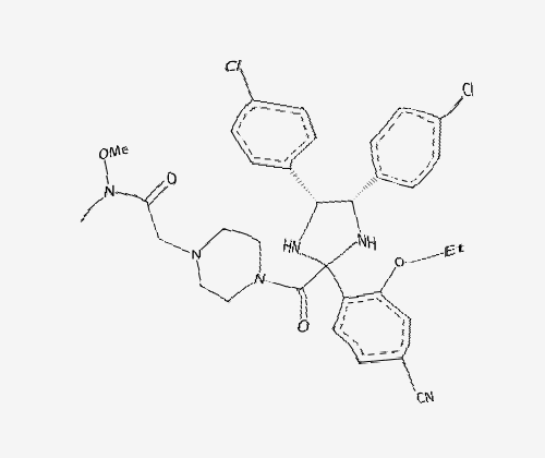 CCOc1cc(C#N)ccc1C1(C(=O)N2CCN(CC(=O)N(C)OC)CC2)N[C@H](c2ccc(Cl)cc2)[C@H](c2ccc(Cl)cc2)N1